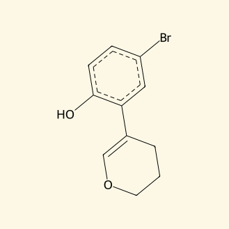 Oc1ccc(Br)cc1C1=COCCC1